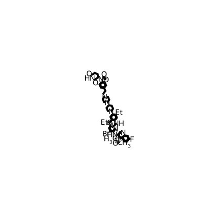 CCOc1cc(N2CCC(N3CCN(CCc4ccc5c(c4)oc(=O)n5C4CCC(=O)NC4=O)CC3)CC2)c(CC)cc1Nc1ncc(Br)c(Nc2cnc3cc(F)ccc3c2P(C)(C)=O)n1